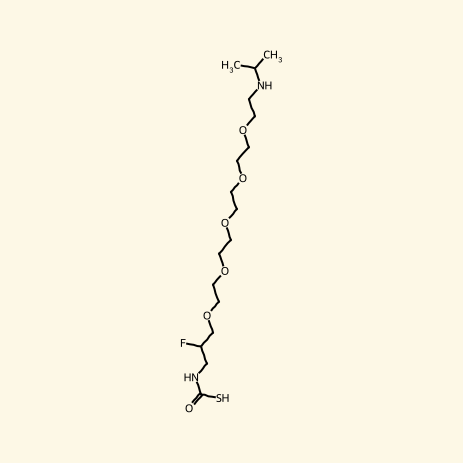 CC(C)NCCOCCOCCOCCOCCOCC(F)CNC(=O)S